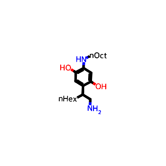 CCCCCCCCNc1cc(O)c(C(CN)CCCCCC)cc1O